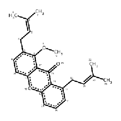 COc1c(CC=C(C)C)ccc2oc3cccc(CC=C(C)C)c3c(=O)c12